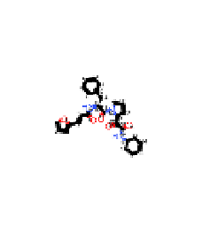 O=C(C=Cc1ccco1)N[C@@H](Cc1ccccc1)C(=O)N1CCCC1C(=O)C(=O)NC1CCCCC1